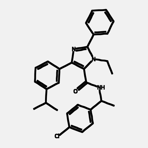 CCn1c(-c2ccccc2)nc(-c2cccc(C(C)C)c2)c1C(=O)NC(C)c1ccc(Cl)cc1